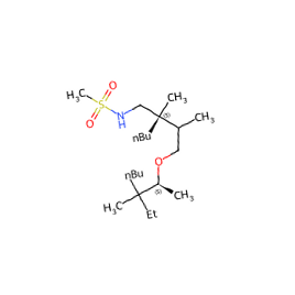 CCCCC(C)(CC)[C@H](C)OCC(C)[C@](C)(CCCC)CNS(C)(=O)=O